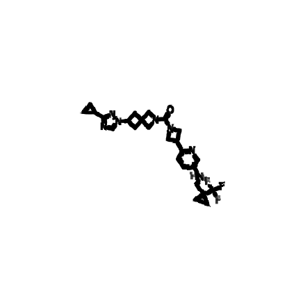 O=C(N1CC(c2ccc(NCC3(C(F)(F)F)CC3)cn2)C1)N1CC2(CC(n3cnc(C4CC4)n3)C2)C1